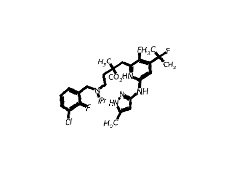 Cc1cc(Nc2cc(C(C)(C)F)c(F)c(CC(C)(CCN(Cc3cccc(Cl)c3F)C(C)C)C(=O)O)n2)n[nH]1